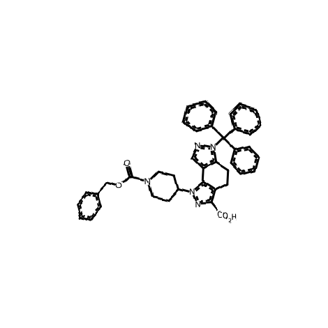 O=C(O)c1nn(C2CCN(C(=O)OCc3ccccc3)CC2)c2c1CCc1c-2cnn1C(c1ccccc1)(c1ccccc1)c1ccccc1